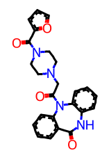 O=C1Nc2ccccc2N(C(=O)CN2CCN(C(=O)c3ccco3)CC2)c2ccccc21